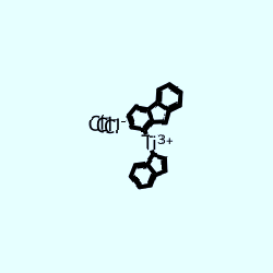 C1=C[CH]([Ti+3][c]2cccc3c2Cc2ccccc2-3)c2ccccc21.[Cl-].[Cl-].[Cl-]